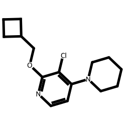 Clc1c(N2CCCCC2)ccnc1OCC1CCC1